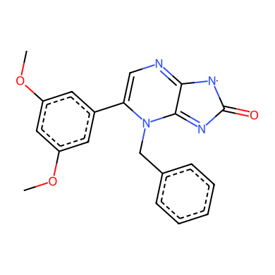 COc1cc(OC)cc(C2=CN=C3[N]C(=O)N=C3N2Cc2ccccc2)c1